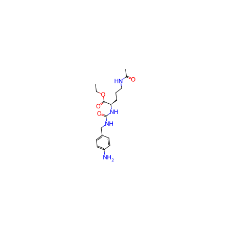 CCOC(=O)[C@@H](CCCNC(C)=O)NC(=O)NCc1ccc(N)cc1